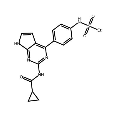 CCS(=O)(=O)Nc1ccc(-c2nc(NC(=O)C3CC3)nc3[nH]ccc23)cc1